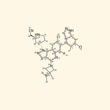 Cc1c(Cl)cc2[nH]ncc2c1-c1c(Cl)cc2c(nc(N3CC(C)(N(C)C)C3)c3cnn([C@H]4CCN[C@H](CC#N)C4)c32)c1F